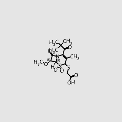 CO[C@H]1C(=O)N2C(C(=O)C(C)(C)C)=C(C)C(SCC(=O)O)S(=O)(=O)[C@H]12